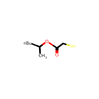 CCCCC(C)OC(=O)CS